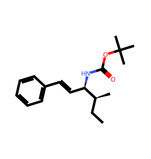 CC[C@H](C)[C@@H](/C=C/c1ccccc1)NC(=O)OC(C)(C)C